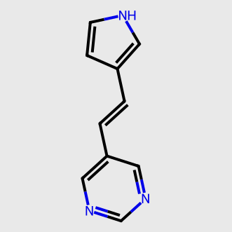 C(=Cc1cc[nH]c1)c1cncnc1